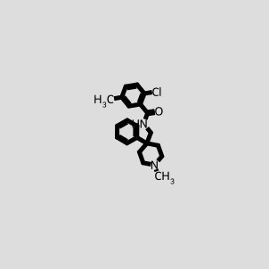 Cc1ccc(Cl)c(C(=O)NCC2(c3ccccc3)CCN(C)CC2)c1